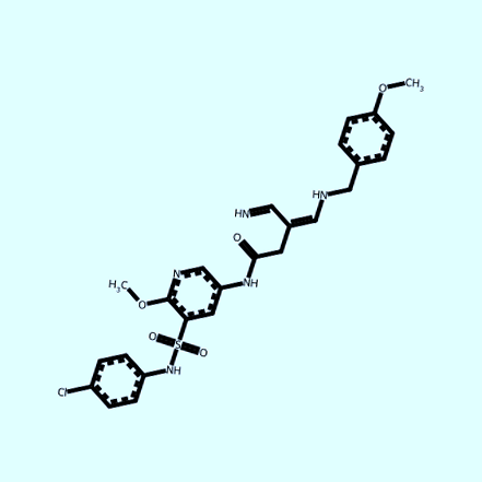 COc1ccc(CN/C=C(\C=N)CC(=O)Nc2cnc(OC)c(S(=O)(=O)Nc3ccc(Cl)cc3)c2)cc1